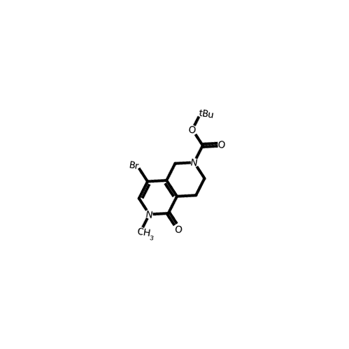 Cn1cc(Br)c2c(c1=O)CCN(C(=O)OC(C)(C)C)C2